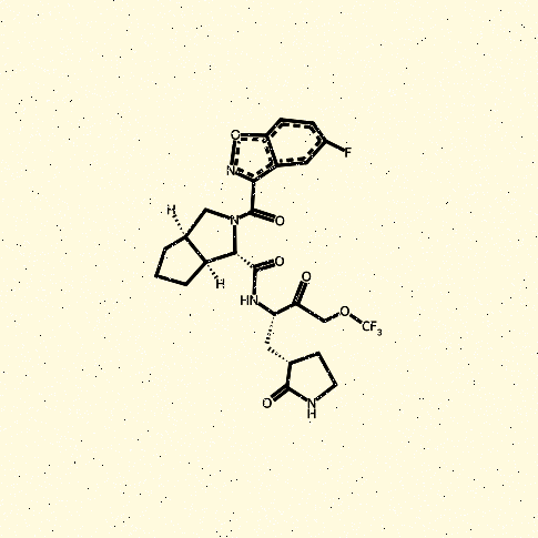 O=C1NCC[C@H]1C[C@H](NC(=O)[C@@H]1[C@H]2CCC[C@H]2CN1C(=O)c1noc2ccc(F)cc12)C(=O)COC(F)(F)F